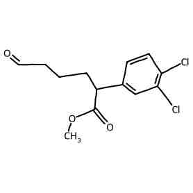 COC(=O)C(CCCC=O)c1ccc(Cl)c(Cl)c1